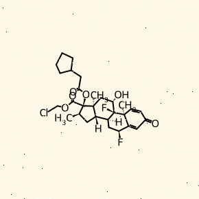 C[C@@H]1C[C@H]2[C@@H]3C[C@H](F)C4=CC(=O)C=C[C@]4(C)[C@@]3(F)[C@@H](O)C[C@]2(C)[C@@]1(OC(=O)CC1CCCC1)C(=O)OCCl